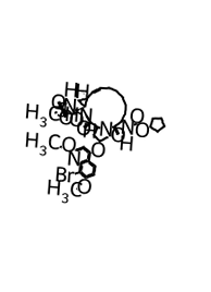 CCOc1cc(O[C@@H]2C[C@H]3C(=O)N[C@]4(C(=O)NS(C)(=O)=O)C[C@H]4/C=C\CCCCC[C@H](NC(=O)OC4CCCC4)C(=O)N3C2)c2ccc(OC)c(Br)c2n1